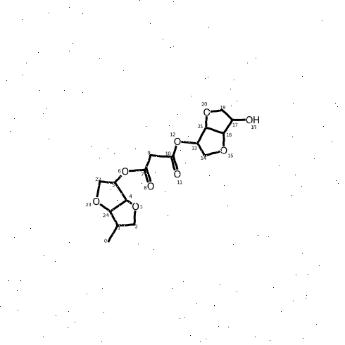 CC1COC2C(OC(=O)CC(=O)OC3COC4C(O)COC34)COC12